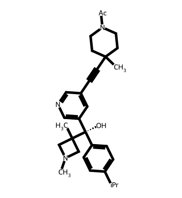 CC(=O)N1CCC(C)(C#Cc2cncc([C@@](O)(c3ccc(C(C)C)cc3)C3(C)CN(C)C3)c2)CC1